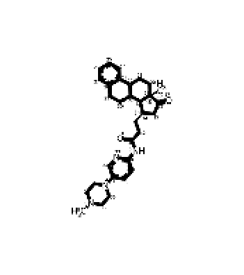 CN1CCN(c2ccc(NC(=O)CC[C@@H]3CC(=O)[C@@]4(C)CCC5c6ccccc6CCC5C34)nc2)CC1